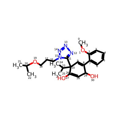 COc1ccccc1C1=CC(c2nnnn2CCCOC(C)C)(C(C)C)C(O)=CC1O